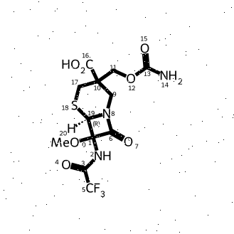 COC1(NC(=O)C(F)(F)F)C(=O)N2CC(COC(N)=O)(C(=O)O)CS[C@@H]21